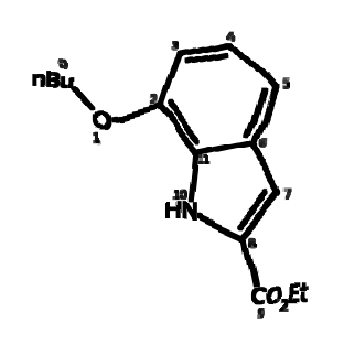 CCCCOc1cccc2cc(C(=O)OCC)[nH]c12